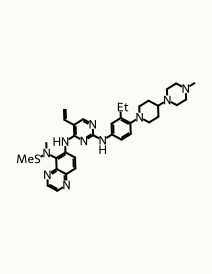 C=Cc1cnc(Nc2ccc(N3CCC(N4CCN(C)CC4)CC3)c(CC)c2)nc1Nc1ccc2nccnc2c1N(C)SC